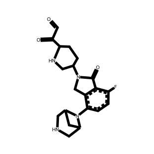 O=CC(=O)C1CCC(N2Cc3c(N4C5CNCC4C5)ccc(F)c3C2=O)CN1